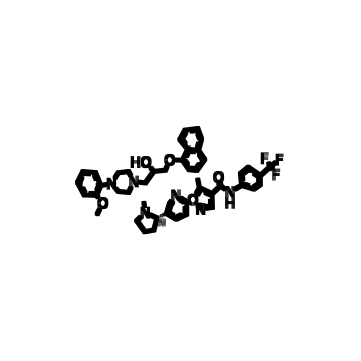 CN1CCC[C@H]1c1cccnc1.COc1ccccc1N1CCN(CC(O)COc2cccc3ccccc23)CC1.Cc1oncc1C(=O)Nc1ccc(C(F)(F)F)cc1